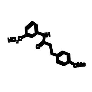 COc1ccc(CCC(=O)Nc2cccc(C(=O)O)c2)cc1